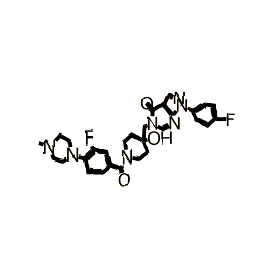 CN1CCN(c2ccc(C(=O)N3CCC(O)(Cn4cnc5c(cnn5-c5ccc(F)cc5)c4=O)CC3)cc2F)CC1